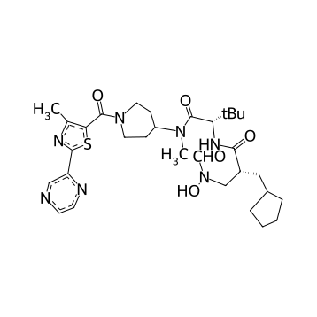 Cc1nc(-c2cnccn2)sc1C(=O)N1CCC(N(C)C(=O)[C@@H](NC(=O)[C@H](CC2CCCC2)CN(O)C=O)C(C)(C)C)CC1